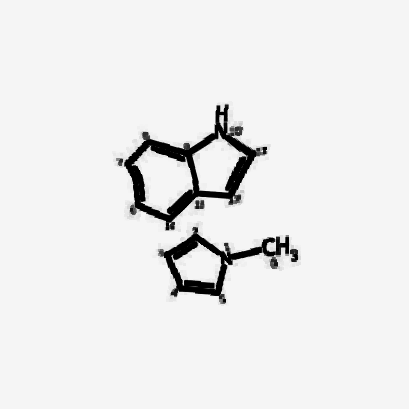 Cn1cccc1.c1ccc2[nH]ccc2c1